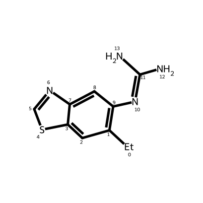 CCc1cc2scnc2cc1N=C(N)N